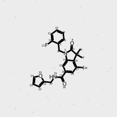 CC1(C)C(=O)N(Cc2ccccc2F)c2cc(C(=O)NCc3ccco3)cc(I)c21